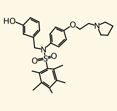 Cc1c(C)c(C)c(S(=O)(=O)N(Cc2cccc(O)c2)c2ccc(OCCN3CCCC3)cc2)c(C)c1C